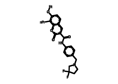 CCCc1c(OCC)ccc2cc(C(=O)Nc3ccc(CN4CCC(F)(F)C4)cc3)c(=O)oc12